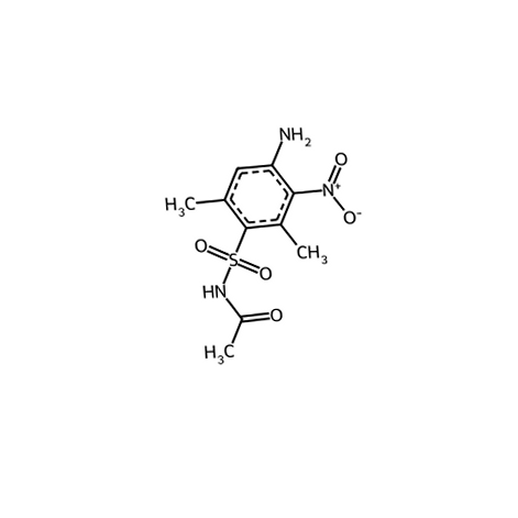 CC(=O)NS(=O)(=O)c1c(C)cc(N)c([N+](=O)[O-])c1C